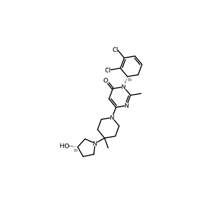 Cc1nc(N2CCC(C)(N3CC[C@H](O)C3)CC2)cc(=O)n1[C@H]1CC=CC(Cl)=C1Cl